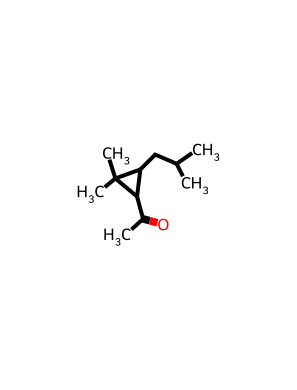 CC(=O)C1C(CC(C)C)C1(C)C